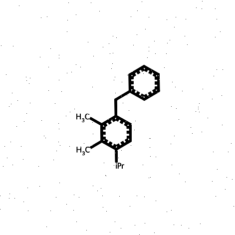 Cc1c(Cc2ccccc2)ccc(C(C)C)c1C